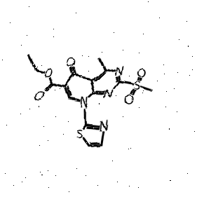 CCOC(=O)c1cn(-c2nccs2)c2nc(S(C)(=O)=O)nc(C)c2c1=O